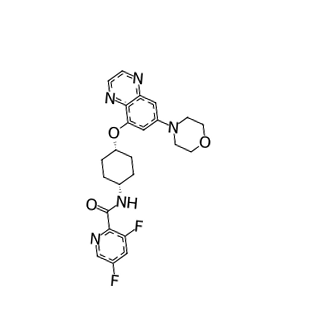 O=C(N[C@H]1CC[C@@H](Oc2cc(N3CCOCC3)cc3nccnc23)CC1)c1ncc(F)cc1F